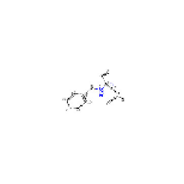 C=C/C(=C/C(=C)C)NCC1=CCCC=C1